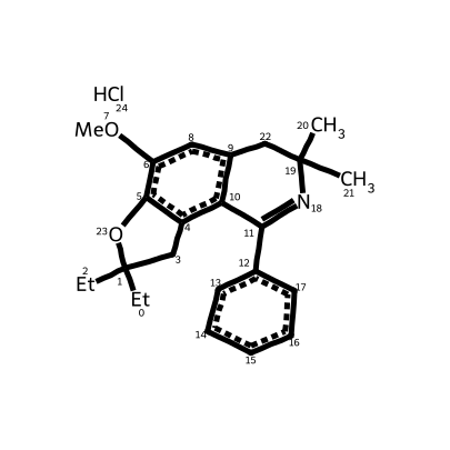 CCC1(CC)Cc2c(c(OC)cc3c2C(c2ccccc2)=NC(C)(C)C3)O1.Cl